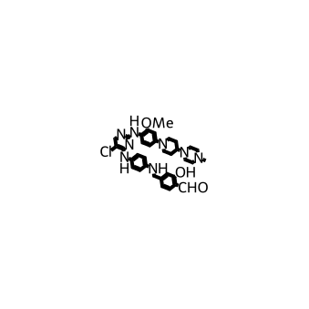 COc1cc(N2CCC(N3CCN(C)CC3)CC2)ccc1Nc1ncc(Cl)c(Nc2ccc(NCc3ccc(C=O)c(O)c3)cc2)n1